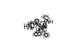 O=C(N[C@H](Cc1c[nH]c2c1CCC=C2)c1nnc(CCc2ccccc2)n1Cc1cccc2ccccc12)C1CCNCC1